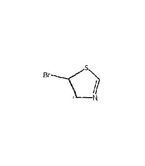 BrC1[C]N=CS1